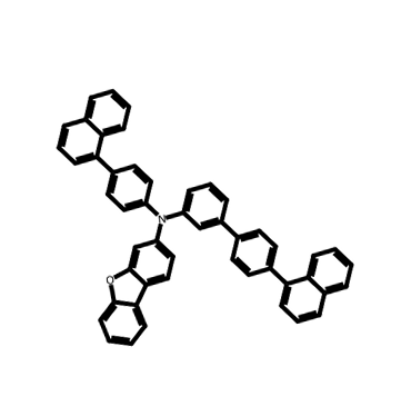 c1cc(-c2ccc(-c3cccc4ccccc34)cc2)cc(N(c2ccc(-c3cccc4ccccc34)cc2)c2ccc3c(c2)oc2ccccc23)c1